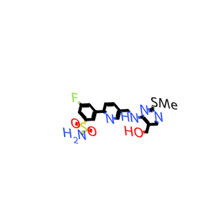 CSc1ncc(CO)c(NCc2ccc(-c3cc(F)cc(S(N)(=O)=O)c3)nc2)n1